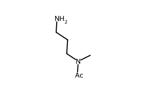 [CH2]C(=O)N(C)CCCN